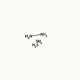 NN.S.S